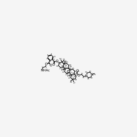 CC(=O)NCCOC(=O)c1ccccc1C(=O)O[C@H]1CC[C@]2(C)[C@H]3CC=C4[C@@H]5CC(C)(C)CC[C@]5(C(=O)OCCN5CCN(C)CC5)CC[C@@]4(C)[C@]3(C)CC[C@H]2C1(C)C